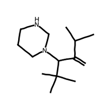 C=C(C(C)C)C(N1CCCNC1)C(C)(C)C